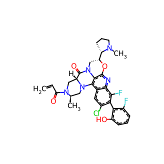 C=CC(=O)N1C[C@@H]2C(=O)N3C[C@H]([C@@H]4CCCN4C)Oc4nc5c(F)c(-c6c(O)cccc6F)c(Cl)cc5c(c43)N2C[C@H]1C